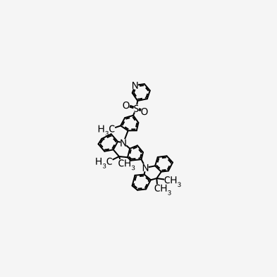 Cc1cc(S(=O)(=O)c2cccnc2)ccc1N1c2ccccc2C(C)(C)c2cc(N3c4ccccc4C(C)(C)c4ccccc43)ccc21